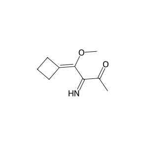 COC(C(=N)C(C)=O)=C1CCC1